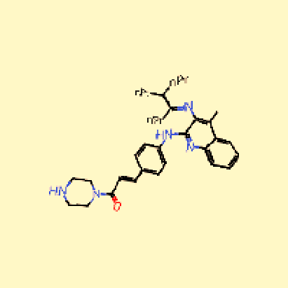 CCC/C(=N\c1c(Nc2ccc(/C=C/C(=O)N3CCNCC3)cc2)nc2ccccc2c1C)C(CCC)CCC